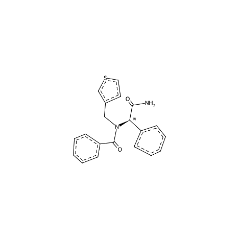 NC(=O)[C@@H](c1ccccc1)N(Cc1ccsc1)C(=O)c1ccccc1